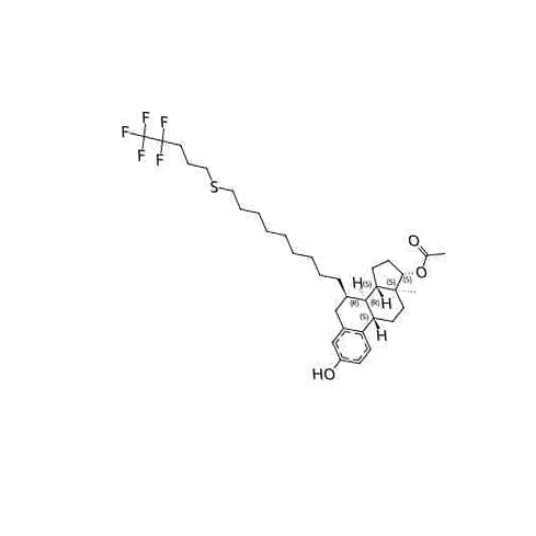 CC(=O)O[C@H]1CC[C@H]2[C@@H]3[C@H](CCCCCCCCCSCCCC(F)(F)C(F)(F)F)Cc4cc(O)ccc4[C@H]3CC[C@]12C